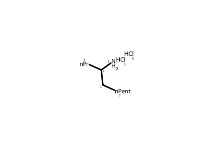 CCCCCCC(N)CCC.Cl.Cl